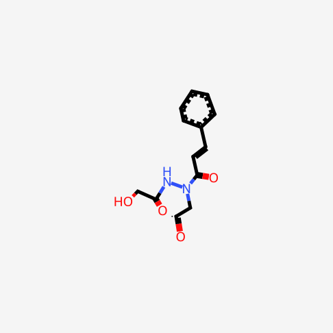 O=[C]CN(NC(=O)CO)C(=O)C=Cc1ccccc1